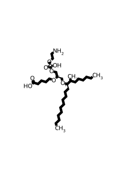 CCCCCCCCCCC[C@@H](OC[C@H](COP(=O)(O)OCCN)OCCCCC(=O)O)C(C)CCCCCC